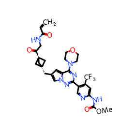 C=CC(=O)NCC(=O)[C@]12C[C@@](Cc3cc4c(N5CCOCC5)nc(-c5cnc(NC(=O)OC)cc5C(F)(F)F)nn4c3)(C1)C2